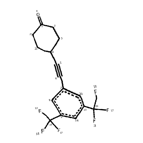 O=C1CCC(C#Cc2cc(C(F)(F)F)cc(C(F)(F)F)c2)CC1